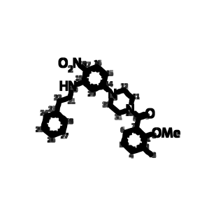 COc1c(C)cccc1C(=O)N1CCN(c2ccc([N+](=O)[O-])c(NCCc3ccccc3)c2)CC1